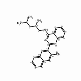 CC(C)C[C@@H](N)CNc1nc(-c2cc3ccccc3cc2O)nc2ccccc12